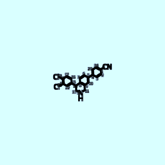 N#Cc1ccc(-c2ccc3c(c2)CNCC3c2ccc(Cl)c(Cl)c2)cc1